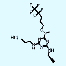 C#CCNc1nc(NCCC)nc(N(C)OCCCC(F)(F)C(F)(F)F)n1.Cl